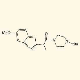 COc1ccc2cc(C(C)C(=O)N3CCN(C(C)(C)C)CC3)ccc2c1